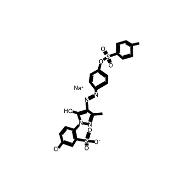 Cc1ccc(S(=O)(=O)Oc2ccc(N=Nc3c(C)nn(-c4ccc(Cl)cc4S(=O)(=O)[O-])c3O)cc2)cc1.[Na+]